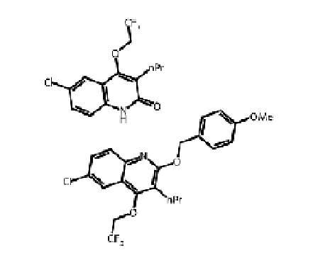 CCCc1c(OCC(F)(F)F)c2cc(Cl)ccc2[nH]c1=O.CCCc1c(OCc2ccc(OC)cc2)nc2ccc(Cl)cc2c1OCC(F)(F)F